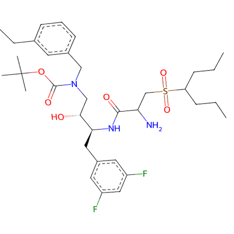 CCCC(CCC)S(=O)(=O)CC(N)C(=O)N[C@@H](Cc1cc(F)cc(F)c1)[C@H](O)CN(Cc1cccc(CC)c1)C(=O)OC(C)(C)C